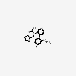 COc1cc(F)ccc1-c1ccncc1N(CC1CCCO1)C(=O)O